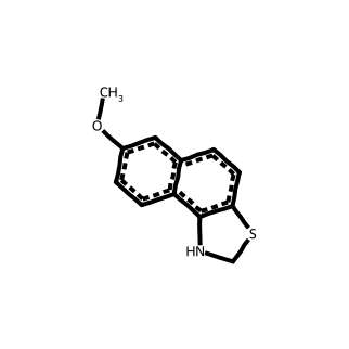 COc1ccc2c3c(ccc2c1)SCN3